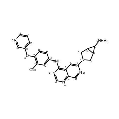 CC(=O)NC1C2CN(c3cc4c(Nc5ccc(Oc6cccnc6)c(Cl)c5)ncnc4cn3)CC21